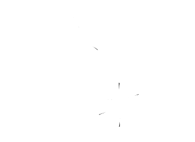 CC[C@@H]1C[C@@]2(CO2)C[C@@H](/C=C/C(C)=C/C[C@@H]2O[C@H](C)[C@H](C)C[C@@H]2C)O1